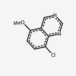 COc1ccc(Cl)c2ncncc12